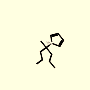 CCCC(C)(CCC)[SiH]1C=CC=C1